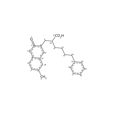 Cc1ccc2oc(=O)c(CC(CCCCc3ccccc3)C(=O)O)cc2c1